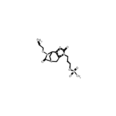 C=CCON1C(=O)N2Cc3c(sc(=O)n3CCCOS(C)(=O)=O)C1C2